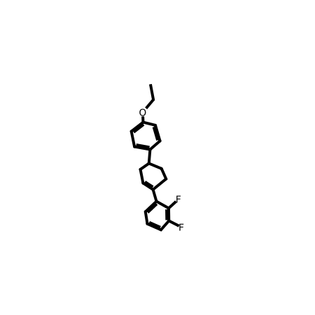 CCOc1ccc(C2CC=C(c3cccc(F)c3F)CC2)cc1